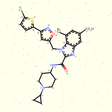 Cc1cc(C(=O)O)cc2nc(C(=O)NC3CCN(C4CC4)CC3)n(Cc3cc(-c4ccc(Cl)s4)no3)c12